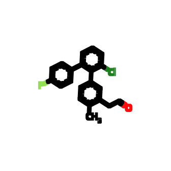 Cc1ccc(-c2c(Cl)cccc2-c2ccc(F)cc2)cc1CC=O